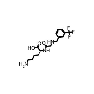 NCCCC[C@H](NC(=O)CNCc1cccc(C(F)(F)F)c1)C(=O)O